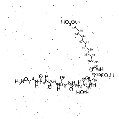 NOCCNC(=O)CNC(=O)CNC(=O)CNC(=O)CNC(=O)C(CO)NC(=O)CCC(NC(=O)CCCCCCCCCCCCCC(=O)O)C(=O)O